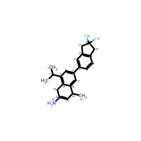 CC(C)c1cc(-c2ccc3c(c2)CC(F)(F)C3)cc2c1CC(N)=CC2C